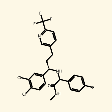 CNC(=O)C(N[C@H](CCc1ccc(C(F)(F)F)nc1)c1ccc(Cl)c(Cl)c1)c1ccc(F)cc1